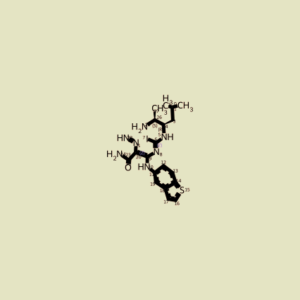 CC(C)C[C@@H](N/C(I)=N/C(Nc1ccc2sccc2c1)=C(\N=N)C(N)=O)[C@H](C)N